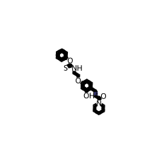 O=C(/C=C/c1ccc(OCCNC(=S)Oc2ccccc2)cc1O)N1CCCCC1